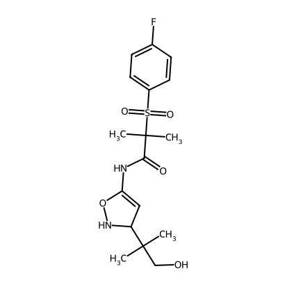 CC(C)(CO)C1C=C(NC(=O)C(C)(C)S(=O)(=O)c2ccc(F)cc2)ON1